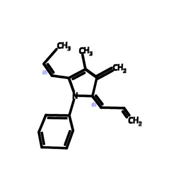 C=C/C=c1\c(=C)c(C)c(/C=C\C)n1-c1ccccc1